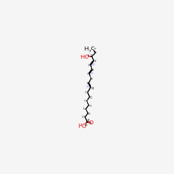 CCC(O)/C=C/C=C/C/C=C/CCCCCCCC(=O)O